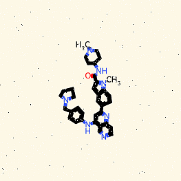 CN1CCC(NC(=O)c2cc3cc(-c4cc(Nc5ccc(CN6CCCC6)cc5)c5cnccc5n4)ccc3n2C)CC1